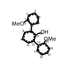 COc1ccccc1-c1cccc(-c2ccccc2OC)c1O